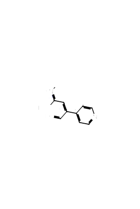 C=C/C(=C\C(C)=N/C)c1ccncc1